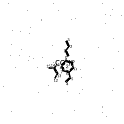 C=CC=C.C=Cc1ccccc1.CC=C(C)C(=O)O